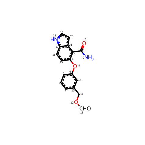 NC(=O)c1c(Oc2cccc(COC=O)c2)ccc2[nH]ccc12